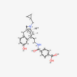 C[C@H]1[C@@H]2N(CC3CC3)C[C@@]23Cc2ccc(O)cc2[C@]1(CCNC(=O)c1ccc(C(=O)O)cc1)C3